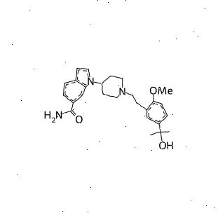 COc1ccc(C(C)(C)O)cc1CCN1CCC(n2ccc3ccc(C(N)=O)cc32)CC1